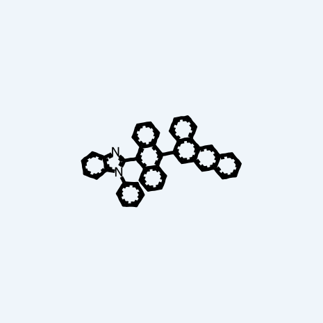 c1ccc(-n2c(-c3c4ccccc4c(-c4cc5cc6ccccc6cc5c5ccccc45)c4ccccc34)nc3ccccc32)cc1